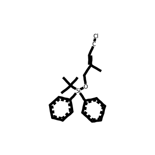 C/C(=C\CCl)CO[Si](c1ccccc1)(c1ccccc1)C(C)(C)C